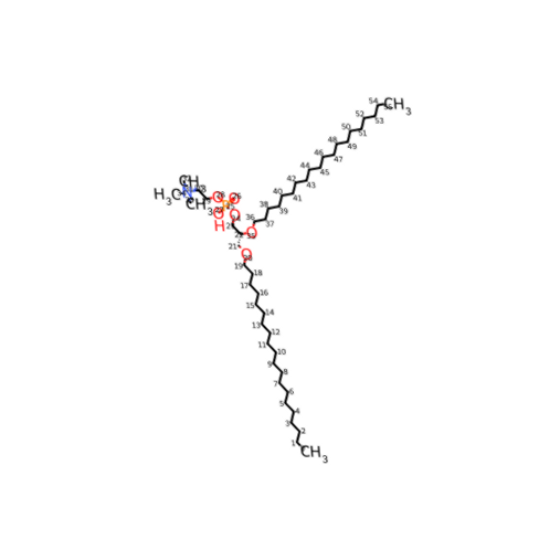 CCCCCCCCCCCCCCCCCCCCOC[C@H](COP(=O)(O)OCC[N+](C)(C)C)OCCCCCCCCCCCCCCCCCCCC